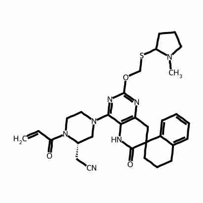 C=CC(=O)N1CCN(c2nc(OCSC3CCCN3C)nc3c2NC(=O)C2(CCCc4ccccc42)C3)C[C@@H]1CC#N